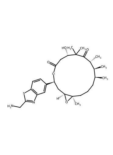 C[C@H]1[C@@H](C)CCC[C@@]2(C)O[C@H]2C[C@@H](c2ccc3sc(CN)nc3c2)OC(=O)C[C@H](O)C(C)(C)C(=O)[C@@H]1C